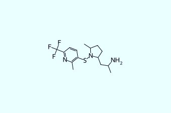 Cc1nc(C(F)(F)F)ccc1SN1C(C)CCC1CC(C)N